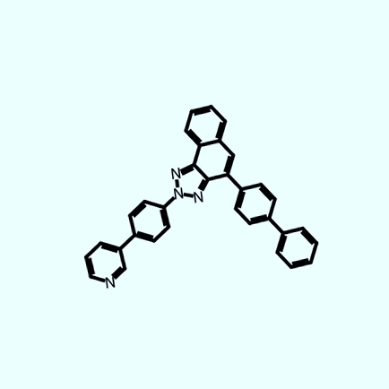 c1ccc(-c2ccc(-c3cc4ccccc4c4nn(-c5ccc(-c6cccnc6)cc5)nc34)cc2)cc1